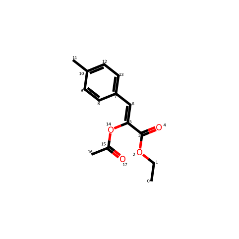 CCOC(=O)C(=Cc1ccc(C)cc1)OC(C)=O